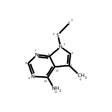 Cc1cn(SI)c2ncnc(N)c12